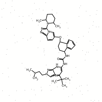 CC1CCCC(C)N1c1nnc2ccc(OC3CCC(NC(=O)N/C(=C/C(=N)C(C)(C)C)Nc4ccn(CCN(C)C)n4)c4ccccc43)cn12